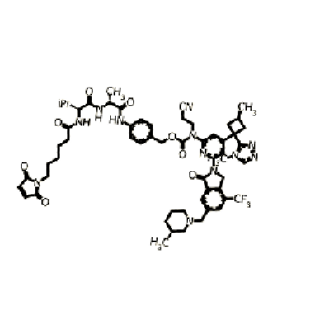 CC1CC(c2cc(N(CCC#N)C(=O)OCc3ccc(NC(=O)[C@H](C)NC(=O)[C@@H](NC(=O)CCCCCN4C(=O)C=CC4=O)C(C)C)cc3)nc(N3Cc4c(cc(CN5CCC[C@H](C)C5)cc4C(F)(F)F)C3=O)c2)(c2nncn2C)C1